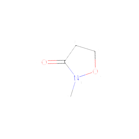 CN1OCCC1=O